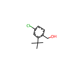 CC(C)(C)c1cc(Cl)ccc1CO